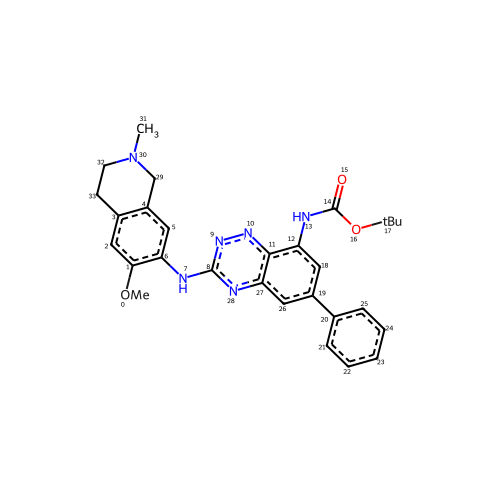 COc1cc2c(cc1Nc1nnc3c(NC(=O)OC(C)(C)C)cc(-c4ccccc4)cc3n1)CN(C)CC2